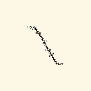 CCCCCCCCCCCCCCCCCCC(=O)NCCCC(=O)NCCOCCOCC(=O)NCCOCCOCC(=O)NCCCCCC(=O)O